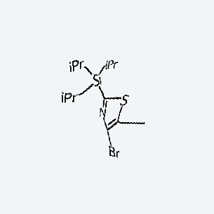 Cc1sc([Si](C(C)C)(C(C)C)C(C)C)nc1Br